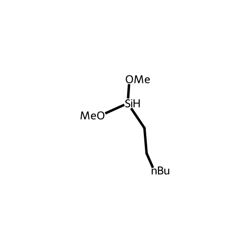 CCCCCC[SiH](OC)OC